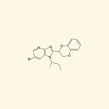 CCC(C)n1c(C2COc3ccccc3O2)nc2ncc(Br)cc21